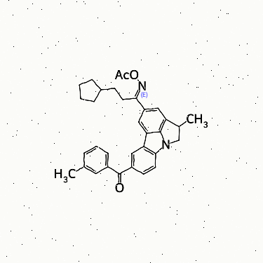 CC(=O)O/N=C(\CCC1CCCC1)c1cc2c3c(c1)c1cc(C(=O)c4cccc(C)c4)ccc1n3CC2C